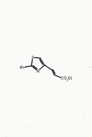 CCOC(=O)C=Cc1csc(C(C)C)n1